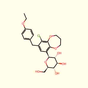 CCOc1ccc(Cc2cc([C@@H]3O[C@H](CO)[C@@H](O)[C@H](O)[C@H]3O)c3c(c2Cl)OCCCO3)cc1